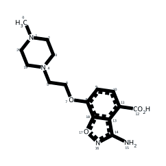 CN1CCN(CCOc2ccc(C(=O)O)c3c(N)noc23)CC1